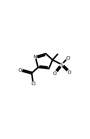 CC1(S(=O)(=O)Cl)C=NC(C(=O)Cl)=C1